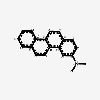 CN(C)c1ccc2ccc3c4ccccc4ccc3c2c1